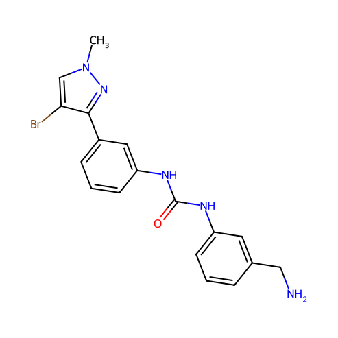 Cn1cc(Br)c(-c2cccc(NC(=O)Nc3cccc(CN)c3)c2)n1